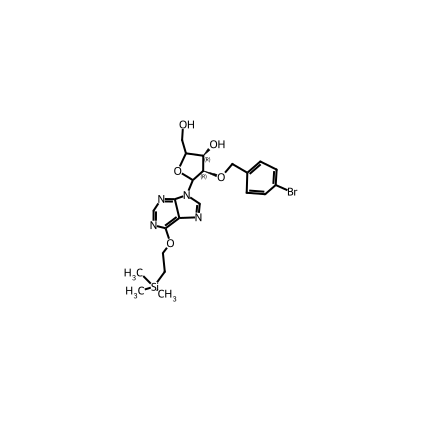 C[Si](C)(C)CCOc1ncnc2c1ncn2C1OC(CO)[C@@H](O)[C@H]1OCc1ccc(Br)cc1